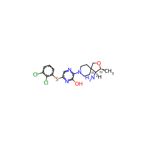 [2H][C@@]1(N)[C@H](C)OCC12CCN(c1ncc(Sc3cccc(Cl)c3Cl)nc1O)CC2